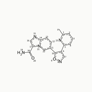 Cc1cccc(-c2cnoc2-c2ccc3ncc(C(N)=O)n3c2)n1